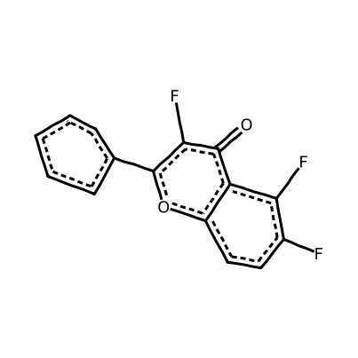 O=c1c(F)c(-c2ccccc2)oc2ccc(F)c(F)c12